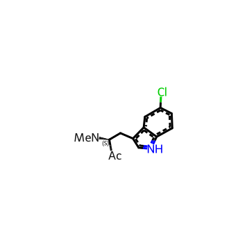 CN[C@@H](Cc1c[nH]c2ccc(Cl)cc12)C(C)=O